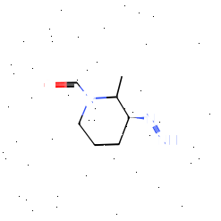 CC1[C@@H](N=N)CCCN1C=O